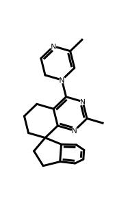 CC1=CN(c2nc(C)nc3c2CCCC32CCc3ccccc32)CC=N1